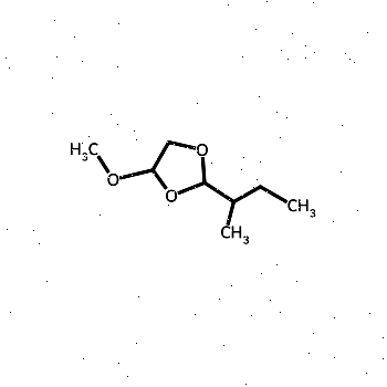 CCC(C)C1OCC(OC)O1